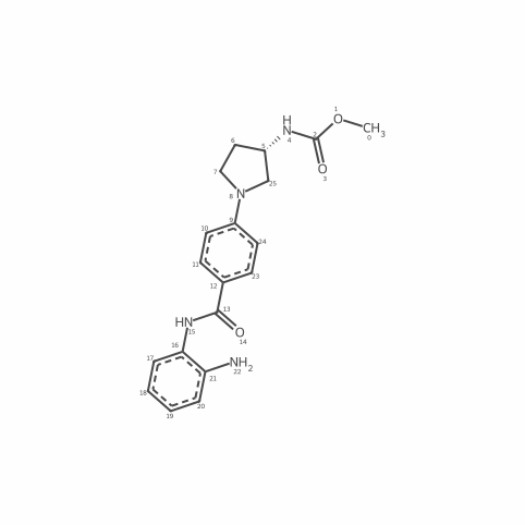 COC(=O)N[C@H]1CCN(c2ccc(C(=O)Nc3ccccc3N)cc2)C1